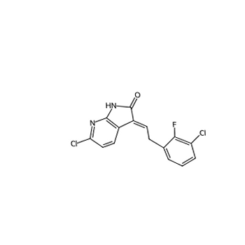 O=C1Nc2nc(Cl)ccc2/C1=C\Cc1cccc(Cl)c1F